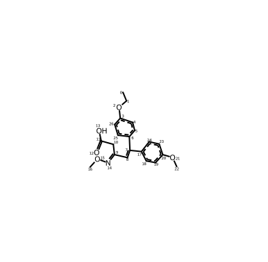 CCOc1ccc(/C(=C\C(CC(=O)O)=N\OC)c2ccc(OC)cc2)cc1